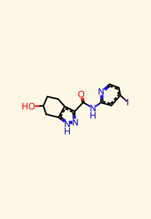 O=C(Nc1cc(I)ccn1)c1n[nH]c2c1CCC(O)C2